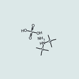 C[Si](C)(C)N[Si](C)(C)C.N.O=S(=O)(O)O